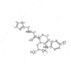 CC(C)CC1c2[nH]c3ccc(Cl)cc3c2CCN1C(=O)CNCc1ccco1